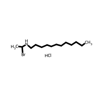 CCCCCCCCCCCCNC(C)Br.Cl